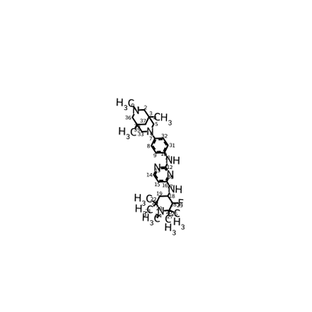 CN1CC2(C)CN(c3ccc(Nc4nccc(NC5CC(C)(C)N(C)C(C)(C)C5F)n4)cc3)CC(C)(C1)C2